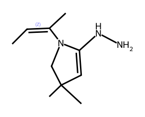 C/C=C(/C)N1CC(C)(C)C=C1NN